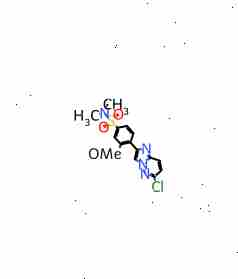 COc1cc(S(=O)(=O)N(C)C)ccc1-c1cn2nc(Cl)ccc2n1